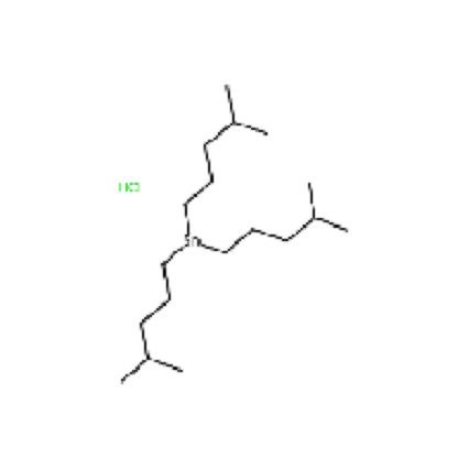 CC(C)CC[CH2][Sn]([CH2]CCC(C)C)[CH2]CCC(C)C.Cl